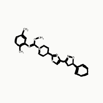 CO/C(=N\c1cc(C)ccc1C)N1CCC(c2nc(C3=NOC(c4ccccc4)C3)cs2)CC1